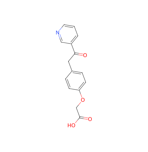 O=C(O)COc1ccc(CC(=O)c2cccnc2)cc1